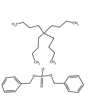 CCCC[N+](CCCC)(CCCC)CCCC.O=P([O-])(OCc1ccccc1)OCc1ccccc1